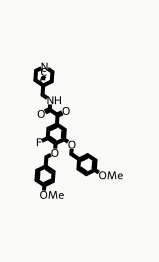 COc1ccc(COc2cc(C(=O)C(=O)NCC34CCN(CC3)CC4)cc(F)c2OCc2ccc(OC)cc2)cc1